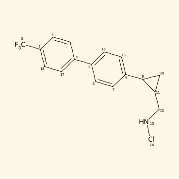 FC(F)(F)c1ccc(-c2ccc(C3CC3CNCl)cc2)cc1